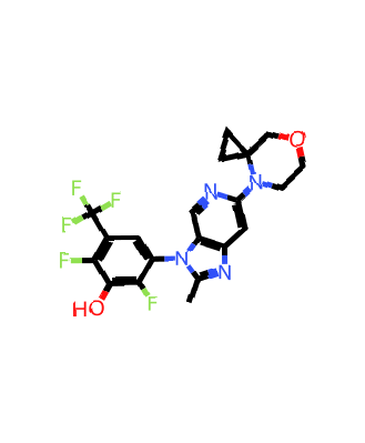 Cc1nc2cc(N3CCOCC34CC4)ncc2n1-c1cc(C(F)(F)F)c(F)c(O)c1F